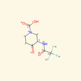 O=C1CCN(C(=O)O)CC1NC(=O)C(F)(F)F